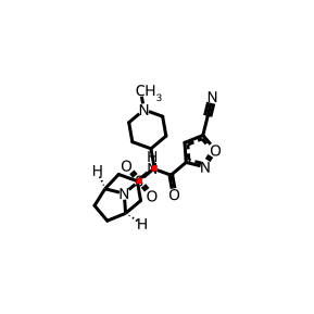 CN1CCC(CS(=O)(=O)N2[C@@H]3CC[C@H]2CC(NC(=O)c2cc(C#N)on2)C3)CC1